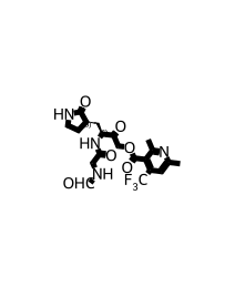 Cc1cc(C(F)(F)F)c(C(=O)OCC(=O)[C@H](C[C@@H]2CCNC2=O)NC(=O)CNC=O)c(C)n1